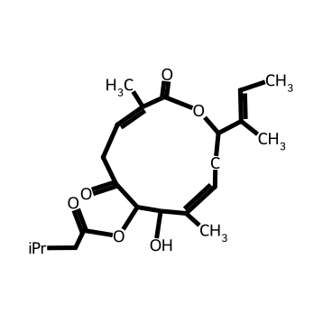 CC=C(C)C1CC=C(C)C(O)C(OC(=O)CC(C)C)C(=O)CC=C(C)C(=O)O1